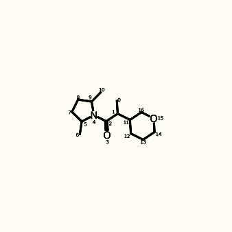 CC(C(=O)N1C(C)CCC1C)C1CCCOC1